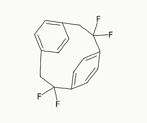 FC1(F)Cc2ccc(cc2)CC(F)(F)c2ccc1cc2